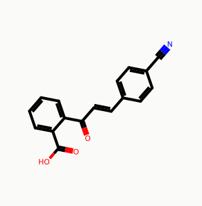 N#Cc1ccc(C=CC(=O)c2ccccc2C(=O)O)cc1